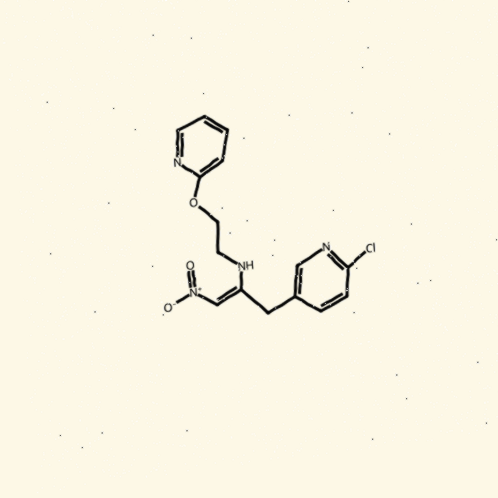 O=[N+]([O-])/C=C(/Cc1ccc(Cl)nc1)NCCOc1ccccn1